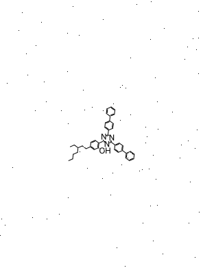 CCCCC(CC)CCc1ccc(-c2nc(-c3ccc(-c4ccccc4)cc3)nc(-c3ccc(-c4ccccc4)cc3)n2)c(O)c1